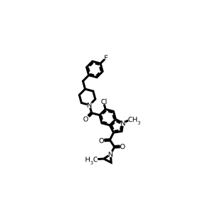 CC1CN1C(=O)C(=O)c1cn(C)c2cc(Cl)c(C(=O)N3CCC(Cc4ccc(F)cc4)CC3)cc12